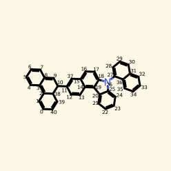 C1=CC2=c3ccccc3=CC(c3ccc4c(ccc5c4c4ccccc4n5-c4cccc5ccccc45)c3)C2C=C1